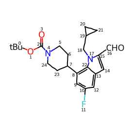 CC(C)(C)OC(=O)N1CCC(c2cc(F)cc3cc(C=O)n(CC4CC4)c23)CC1